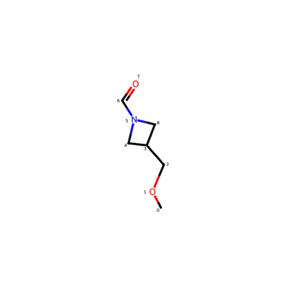 COCC1CN(C=O)C1